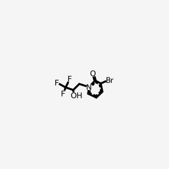 O=c1c(Br)cccn1CC(O)C(F)(F)F